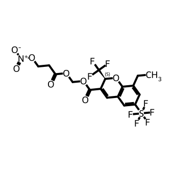 CCc1cc(S(F)(F)(F)(F)F)cc2c1O[C@H](C(F)(F)F)C(C(=O)OCOC(=O)CCO[N+](=O)[O-])=C2